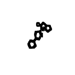 O=C1CC2CCCN2N1c1ccc(-c2ccccc2)cn1